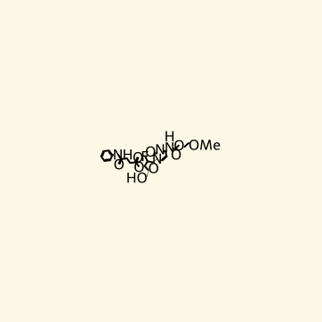 COCCOC(=O)Nc1ccn([C@@H]2O[C@H](CO)[C@@H](OC(=O)CCC(=O)Nc3ccccc3)C2F)c(=O)n1